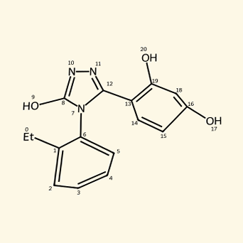 CCc1ccccc1-n1c(O)nnc1-c1ccc(O)cc1O